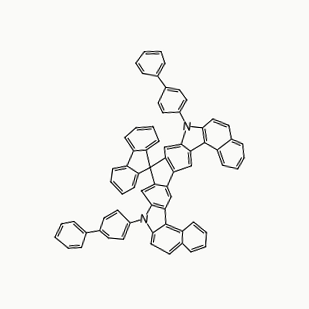 c1ccc(-c2ccc(-n3c4cc5c(cc4c4c6ccccc6ccc43)-c3cc4c6c7ccccc7ccc6n(-c6ccc(-c7ccccc7)cc6)c4cc3C53c4ccccc4-c4ccccc43)cc2)cc1